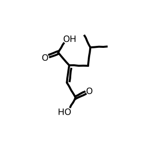 CC(C)C/C(=C\C(=O)O)C(=O)O